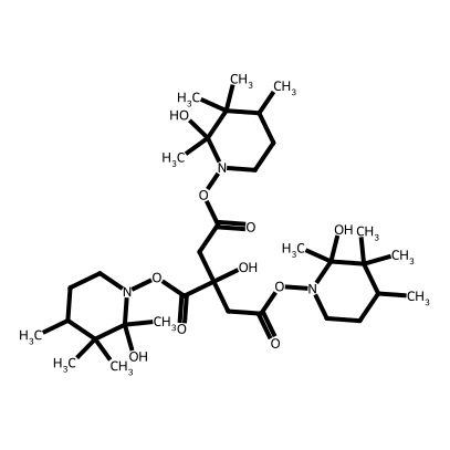 CC1CCN(OC(=O)CC(O)(CC(=O)ON2CCC(C)C(C)(C)C2(C)O)C(=O)ON2CCC(C)C(C)(C)C2(C)O)C(C)(O)C1(C)C